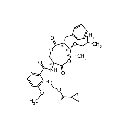 COc1ccnc(C(=O)N[C@H]2COC(=O)[C@H](Cc3ccccc3)[C@@H](OCC(C)C)[C@H](C)OC2=O)c1OCOC(=O)C1CC1